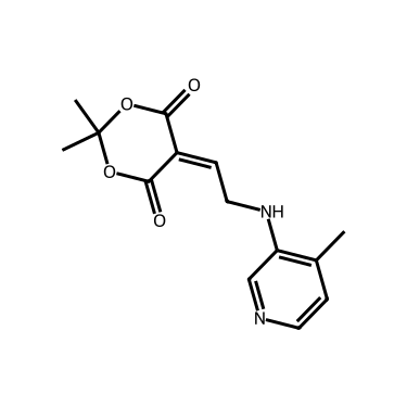 Cc1ccncc1NCC=C1C(=O)OC(C)(C)OC1=O